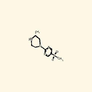 C[C@@H]1CN(c2ncc(S(C)(=O)=O)cn2)CCN1